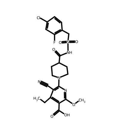 CCc1c(C#N)c(N2CCC(C(=O)NS(=O)(=O)Cc3ccc(Cl)cc3F)CC2)nc(OC)c1C(=O)O